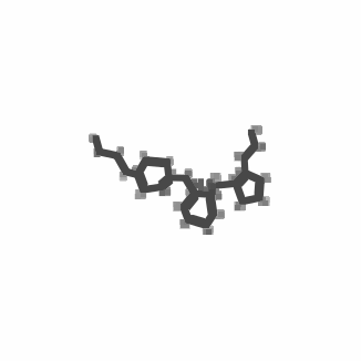 CCCCc1ccc(Cc2ccccc2[SiH2]C2=C(CCC)C=CC2)cc1